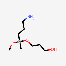 CO[Si](C)(CCCN)OCCCO